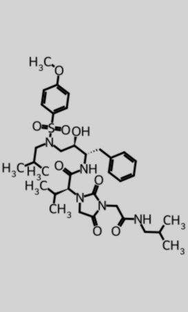 COc1ccc(S(=O)(=O)N(CC(C)C)C[C@@H](O)[C@H](Cc2ccccc2)NC(=O)[C@H](C(C)C)N2CC(=O)N(CC(=O)NCC(C)C)C2=O)cc1